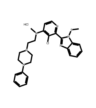 CSn1c(-c2nccc(N(C)CCN3CCN(c4ccccc4)CC3)c2Cl)nc2ccccc21.Cl